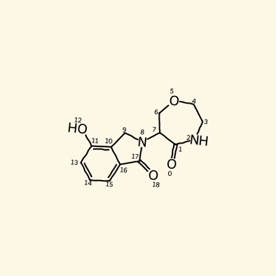 O=C1NCCOCC1N1Cc2c(O)cccc2C1=O